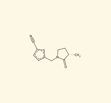 [CH2][C@H]1CCN(Cc2ccc(C#N)s2)C1=O